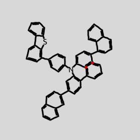 c1ccc(-c2ccc(-c3ccc4ccccc4c3)cc2N(c2ccc(-c3cccc4ccccc34)cc2)c2ccc(-c3cccc4c3sc3ccccc34)cc2)cc1